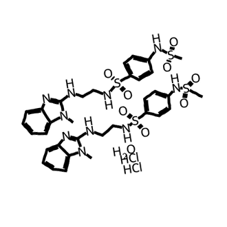 Cl.Cl.Cn1c(NCCNS(=O)(=O)c2ccc(NS(C)(=O)=O)cc2)nc2ccccc21.Cn1c(NCCNS(=O)(=O)c2ccc(NS(C)(=O)=O)cc2)nc2ccccc21.O